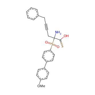 COc1ccc(-c2ccc(S(=O)(=O)C(N)(CC#CCc3ccccc3)C(O)=S)cc2)cc1